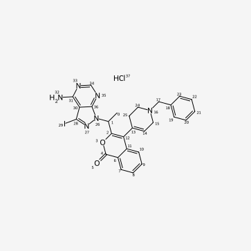 CC(c1oc(=O)c2ccccc2c1C1=CCN(Cc2ccccc2)CC1)n1nc(I)c2c(N)ncnc21.Cl